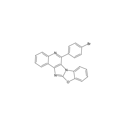 Brc1ccc(-c2nc3ccccc3c3nc4oc5ccccc5n4c23)cc1